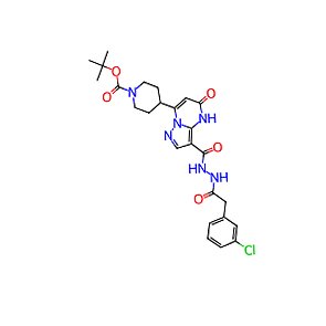 CC(C)(C)OC(=O)N1CCC(c2cc(=O)[nH]c3c(C(=O)NNC(=O)Cc4cccc(Cl)c4)cnn23)CC1